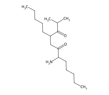 CCCCCC(N)C(=O)CC(CCCCC)C(=O)C(C)C